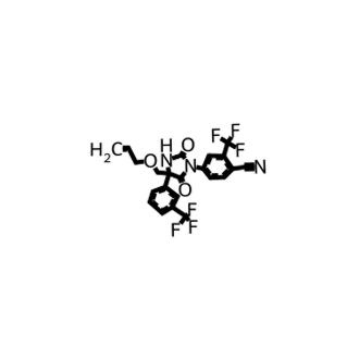 C=CCOCC1(c2cccc(C(F)(F)F)c2)NC(=O)N(c2ccc(C#N)c(C(F)(F)F)c2)C1=O